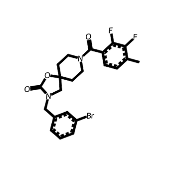 Cc1ccc(C(=O)N2CCC3(CC2)CN(Cc2cccc(Br)c2)C(=O)O3)c(F)c1F